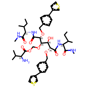 CCC(C)[C@H](NC(=O)[C@H](OCc1ccc(-c2ccsc2)cc1)[C@H](O)[C@@H](OCOC(=O)[C@@H](N)C(C)C)[C@@H](OCc1ccc(-c2ccsc2)cc1)C(=O)N[C@H](C(=O)NC)C(C)CC)C(=O)NC